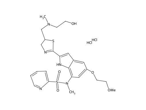 COCCOc1cc(N(C)S(=O)(=O)c2ccccn2)c2[nH]c(C3=NCC(CN(C)CCO)S3)cc2c1.Cl.Cl